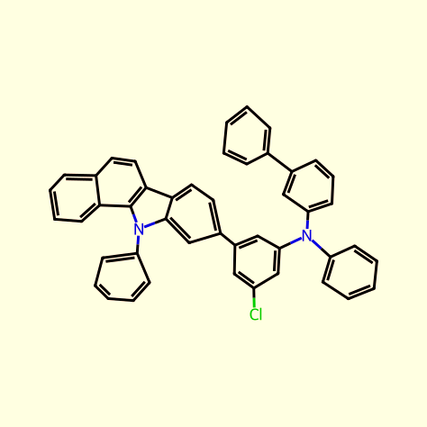 Clc1cc(-c2ccc3c4ccc5ccccc5c4n(-c4ccccc4)c3c2)cc(N(c2ccccc2)c2cccc(-c3ccccc3)c2)c1